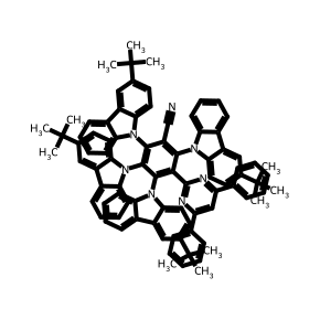 CC(C)(C)c1ccc2c(c1)c1ccccc1n2-c1c(C#N)c(-n2c3ccccc3c3cc(C(C)(C)C)ccc32)c(-n2c3ccccc3c3cc(C(C)(C)C)ccc32)c(-n2c3ccccc3c3cc(C(C)(C)C)ccc32)c1-c1nc(-c2ccccc2)cc(-c2ccccc2)n1